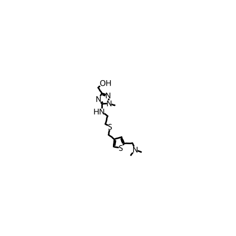 CN(C)Cc1cc(CSCCNc2nc(CO)nn2C)cs1